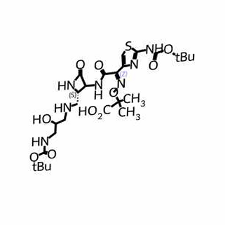 CC(C)(C)OC(=O)NCC(O)CNC[C@@H]1NC(=O)C1NC(=O)/C(=N\OC(C)(C)C(=O)O)c1csc(NC(=O)OC(C)(C)C)n1